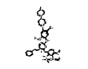 C=Nc1ccc(Nc2nc(Nc3cc(CC)c(N4CCC(N5CCN(C)CC5)CC4)cc3OC)ncc2/C=C/c2ccccc2)c(N(C)S(C)(=O)=O)c1/N=C\C